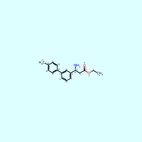 CCOC(=O)C[C@H](N)c1cccc(-c2ccc(C)cc2)c1